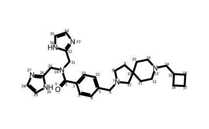 O=C(c1ccc(CN2CCC3(CCN(CC4CCC4)CC3)C2)cc1)N(Cc1ncc[nH]1)Cc1ncc[nH]1